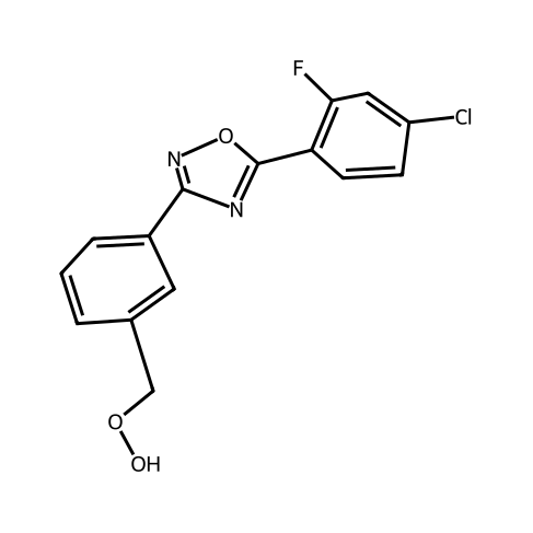 OOCc1cccc(-c2noc(-c3ccc(Cl)cc3F)n2)c1